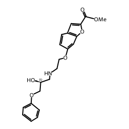 COC(=O)c1cc2ccc(OCCNC[C@H](O)COc3ccccc3)cc2o1